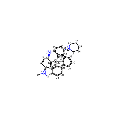 C[N+](C)=C1C=CC2=Nc3ccc(N4CCCCC4)cc3[Si](c3ccccc3)(c3ccccc3)C2=C1